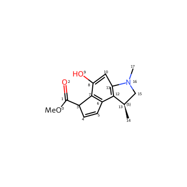 COC(=O)C1C=Cc2c1c(O)cc1c2[C@H](C)CN1C